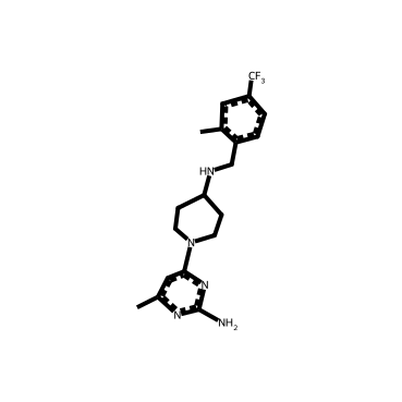 Cc1cc(N2CCC(NCc3ccc(C(F)(F)F)cc3C)CC2)nc(N)n1